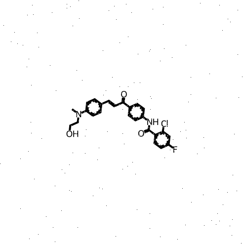 CN(CCO)c1ccc(/C=C/C(=O)c2ccc(NC(=O)c3ccc(F)cc3Cl)cc2)cc1